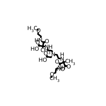 COCCNC(=O)C(C)(NCCN(CCNC(C)(C(=O)O)C(=O)NCCOC)CC(=O)O)C(=O)O